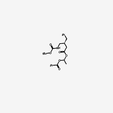 CC(C)C[C@H](CNC(=O)OC(C)(C)C)CC(=O)OC(C)OC(=O)C(C)C